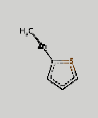 [CH3][Zn][c]1cccs1